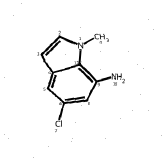 Cn1ccc2cc(Cl)cc(N)c21